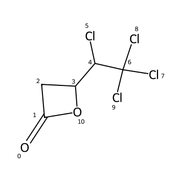 O=C1CC(C(Cl)C(Cl)(Cl)Cl)O1